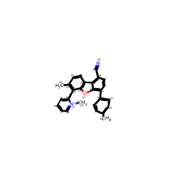 Cc1ccc(-c2ccc(C#N)c3c2oc2c(-c4cccc[n+]4C)c(C)ccc23)cc1